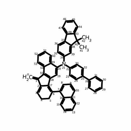 C=C1C2=CCCC(c3cccc4ccccc34)=C2c2cc(N(c3ccc(-c4ccccc4)cc3)c3ccc4c(c3)C(C)(C)c3ccccc3-4)c3ccccc3c21